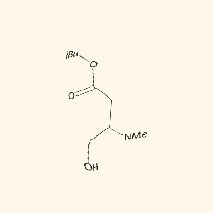 CCC(C)OC(=O)CC(CO)NC